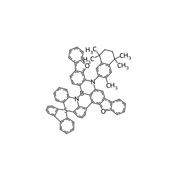 Cc1cc2c(cc1N1c3cc4c(oc5ccccc54)c4c3B(c3ccc5c(oc6ccccc65)c31)N1c3ccccc3S3(c5ccccc5-c5ccccc53)c3cccc-4c31)C(C)(C)CCC2(C)C